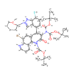 CC(C)(C)OC(=O)N(C(=O)OC(C)(C)C)c1c(-c2ccc(F)c3nn(C4CCCCO4)cc23)c2cc(Br)c3ncccc3c2n(C(=O)OC(C)(C)C)c1=O